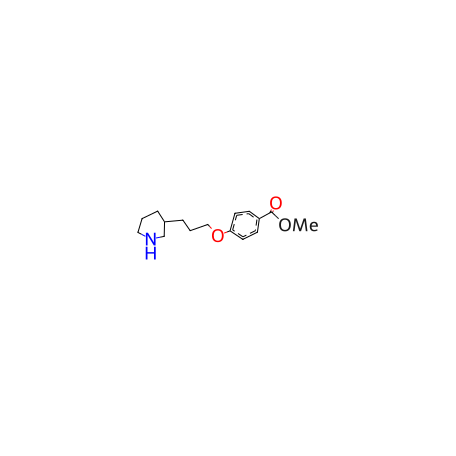 COC(=O)c1ccc(OCCCC2CCCNC2)cc1